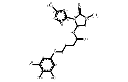 CN1CC(OC(=O)CCCSc2cc(Cl)c(Cl)c(Cl)c2)N(c2nnc(C(C)(C)C)s2)C1=O